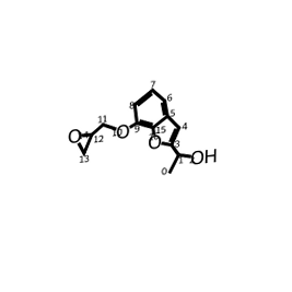 CC(O)c1cc2cccc(OCC3CO3)c2o1